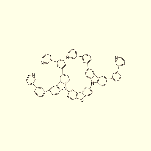 c1cncc(-c2cccc(-c3ccc4c(c3)c3cc(-c5cccc(-c6cccnc6)c5)ccc3n4-c3ccc4sc5ccc(-n6c7ccc(-c8cccc(-c9cccnc9)c8)cc7c7cc(-c8cccc(-c9cccnc9)c8)ccc76)cc5c4c3)c2)c1